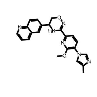 COc1nc(C2=NOCC(c3ccc4ncccc4c3)N2)ccc1-n1cnc(C)c1